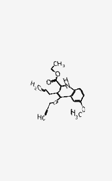 C#CCOC1c2cc(OC)ccc2NC(C(=O)OCC)C1CC=C